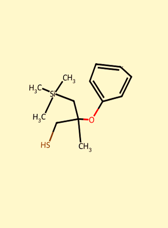 CC(CS)(C[Si](C)(C)C)Oc1cc[c]cc1